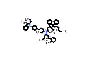 C=C/C=C(\C=C(/C)C1=C(C(C)C)CCC=C1)N(/C(C)=C/C1=C(C=C)C(C/C=C\C=C/C)(c2ccccc2)c2ccccc21)C(/C=C\Cc1ccc(-n2c(/C=C\CC)c(C)c3ccccc32)cc1)=C/C